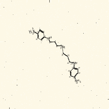 Nc1ccc(NCCCNCCCNc2ccc(N)cc2)cc1